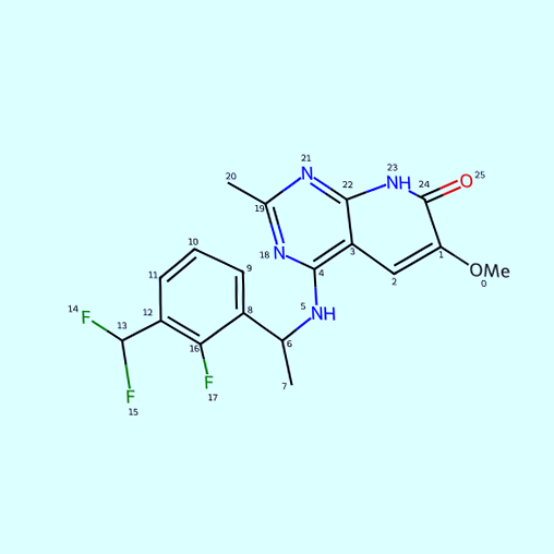 COc1cc2c(NC(C)c3cccc(C(F)F)c3F)nc(C)nc2[nH]c1=O